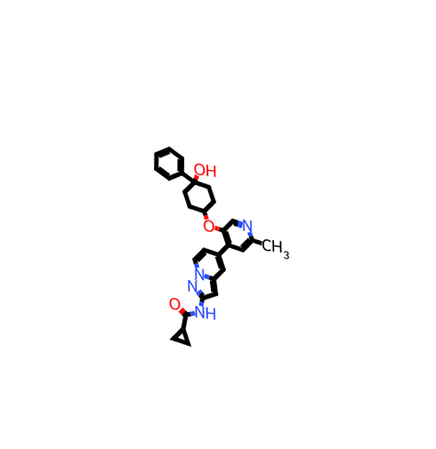 Cc1cc(-c2ccn3nc(NC(=O)C4CC4)cc3c2)c(OC2CCC(O)(c3ccccc3)CC2)cn1